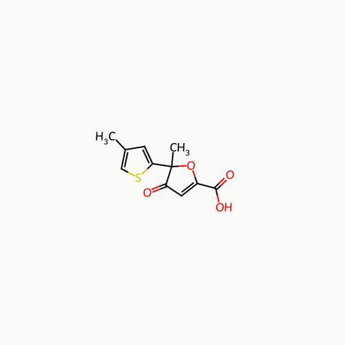 Cc1csc(C2(C)OC(C(=O)O)=CC2=O)c1